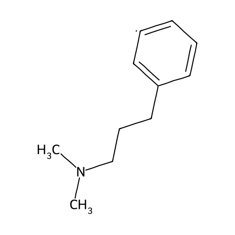 CN(C)CCCc1c[c]ccc1